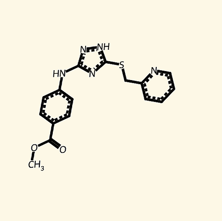 COC(=O)c1ccc(Nc2n[nH]c(SCc3ccccn3)n2)cc1